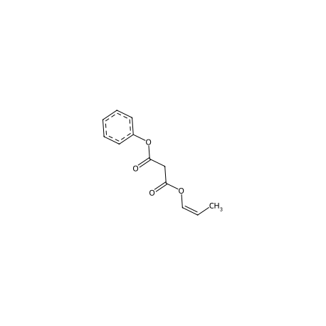 C/C=C\OC(=O)CC(=O)Oc1ccccc1